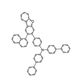 c1ccc(-c2ccc(N(c3ccc(-c4ccccc4)cc3)c3ccc(-c4cc5oc6ccccc6c5cc4-c4cccc5ccccc45)cc3)cc2)cc1